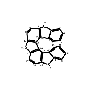 c1ccc2c(c1)oc1ccc3sc4ccc5sc6ccccc6c5c4c3c12